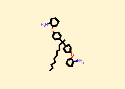 CCCCCCCCCC(C)(c1ccc(Oc2ccccc2N)cc1)c1ccc(Oc2ccccc2N)cc1